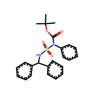 CC(C)(C)OC(=O)N(c1ccccc1)S(=O)(=O)NC(c1ccccc1)c1ccccc1